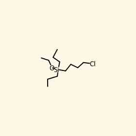 CCC[Si](CCC)(CCCCCl)OCC